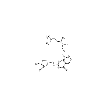 CCN(CCN(C)C)C(=O)CNCc1nccc2c(=O)[nH]c(COc3ccc(F)c(Cl)c3)nc12